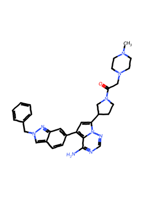 CN1CCN(CC(=O)N2CCC(c3cc(-c4ccc5cn(Cc6ccccc6)nc5c4)c4c(N)ncnn34)C2)CC1